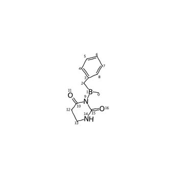 CB(Cc1ccccc1)N1C(=O)CCNC1=O